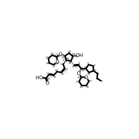 CCCC1CCC([C@@H](/C=C/[C@@H]2[C@@H](C/C=C\C/C=C/C(=O)O)[C@@H](OC3CCCCO3)C[C@H]2O)OC2CCCCO2)C1